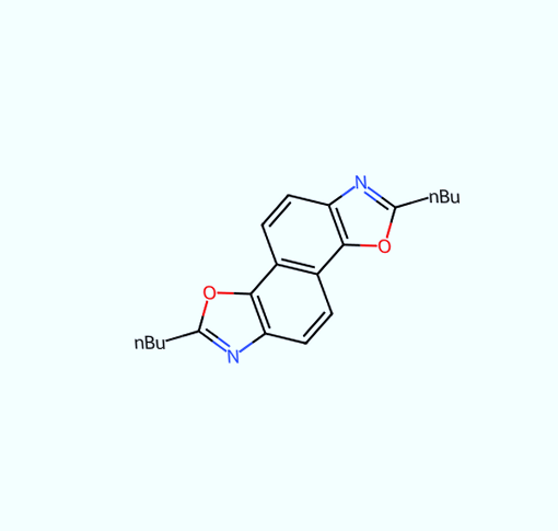 CCCCc1nc2ccc3c(ccc4nc(CCCC)oc43)c2o1